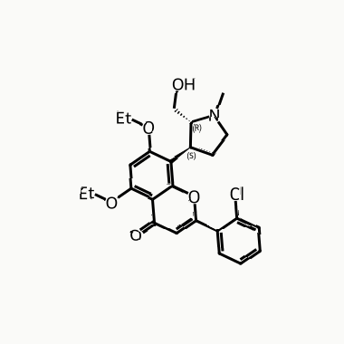 CCOc1cc(OCC)c2c(=O)cc(-c3ccccc3Cl)oc2c1[C@@H]1CCN(C)[C@H]1CO